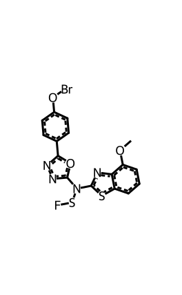 COc1cccc2sc(N(SF)c3nnc(-c4ccc(OBr)cc4)o3)nc12